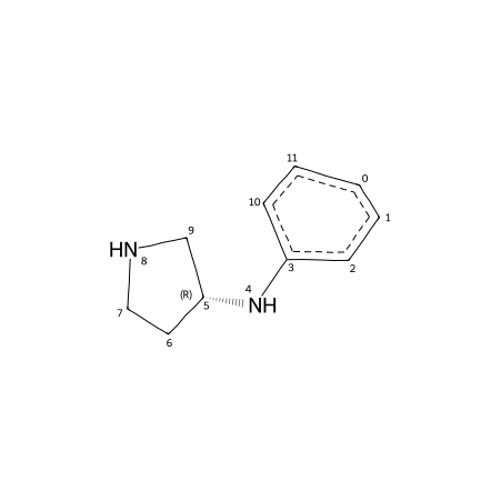 c1ccc(N[C@@H]2CCNC2)cc1